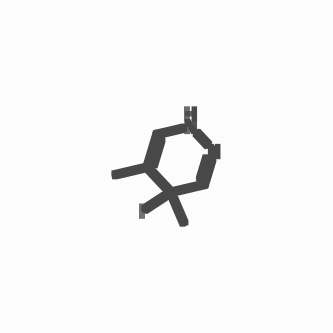 CC1=CNN=CC1(C)I